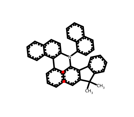 CC1(C)c2ccccc2-c2c(N(c3ccc4ccccc4c3-c3ccccc3)c3cccc4ccccc34)cccc21